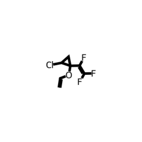 C=COC1(C(F)=C(F)F)CC1Cl